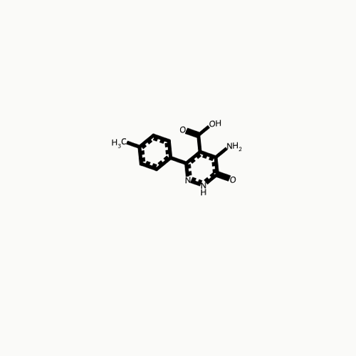 Cc1ccc(-c2n[nH]c(=O)c(N)c2C(=O)O)cc1